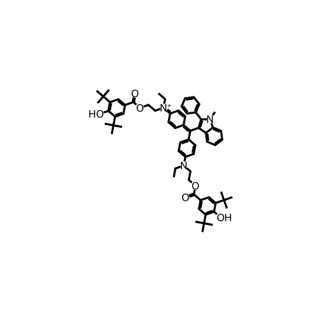 CCN(CCOC(=O)c1cc(C(C)(C)C)c(O)c(C(C)(C)C)c1)c1ccc(C(=C2C=CC(=[N+](CC)CCOC(=O)c3cc(C(C)(C)C)c(O)c(C(C)(C)C)c3)C=C2)c2c(-c3ccccc3)n(C)c3ccccc23)cc1